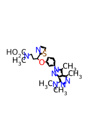 Cc1nnc(N(C)C)c2nn(-c3cccc(OC(CCN(C)C(=O)O)c4nccs4)c3)c(C)c12